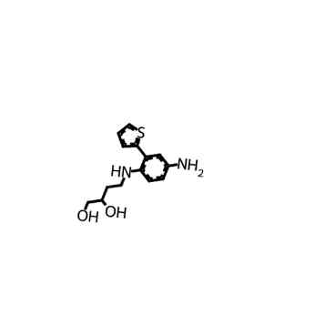 Nc1ccc(NCCC(O)CO)c(-c2cccs2)c1